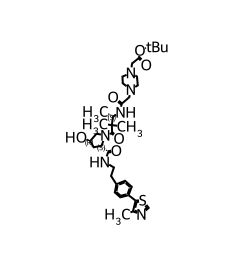 Cc1ncsc1-c1ccc(CCNC(=O)[C@@H]2C[C@@H](O)CN2C(=O)C(C)(C)[C@H](C)NC(=O)CN2CCN(CC(=O)OC(C)(C)C)CC2)cc1